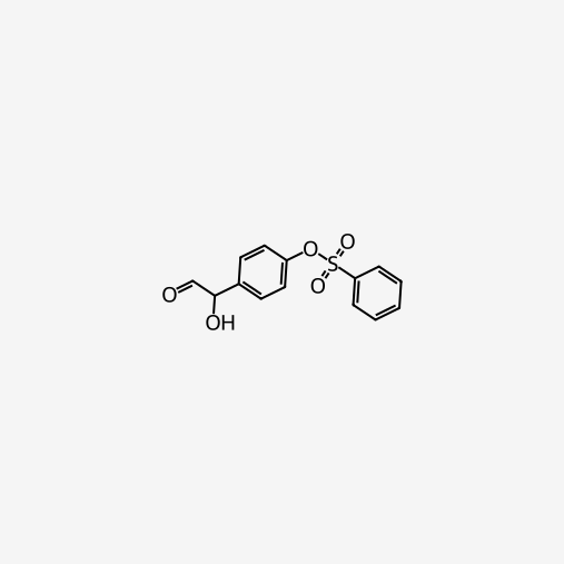 O=CC(O)c1ccc(OS(=O)(=O)c2ccccc2)cc1